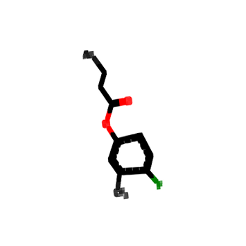 CC(=O)CCC(=O)Oc1ccc(F)c(C(F)(F)F)c1